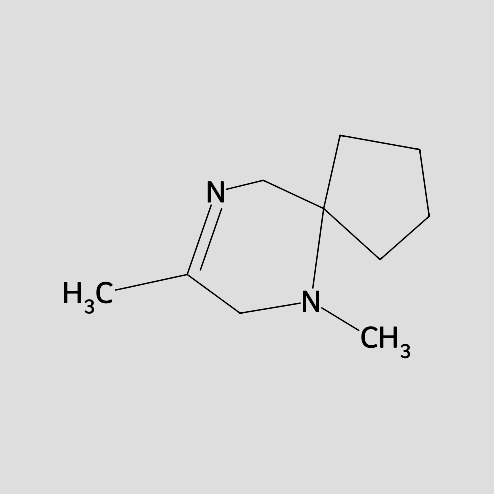 CC1=NCC2(CCCC2)N(C)C1